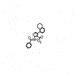 O=C(Nc1scc(-c2cccc3c2CCCC3)c1C(=O)OI)c1ccccc1